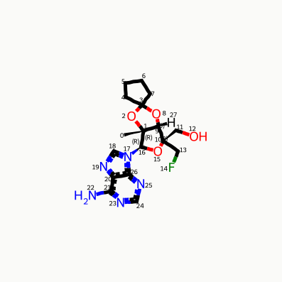 C[C@@]12OC3(CCCC3)O[C@@H]1[C@](CO)(CF)O[C@H]2n1cnc2c(N)ncnc21